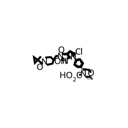 C[C@H]1CN(C(=O)O)[C@H](c2ccc(-n3c(Cl)cc4c(=O)n(CC5(O)CCN(C(=O)C6(C)CC6)CC5)cnc43)cc2)CO1